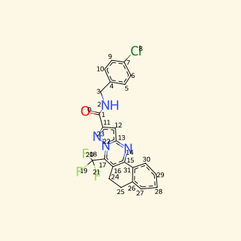 O=C(NCc1ccc(Cl)cc1)c1cc2nc3c(c(C(F)(F)F)n2n1)CCc1ccccc1-3